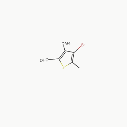 COc1c(C=O)sc(C)c1Br